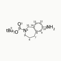 CC(C)(C)OC(=O)N1CCCc2cc(N)ccc2C1